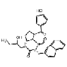 Cl.NCC(O)CNC(=O)[C@@H](Cc1ccc2ccccc2c1)N(C=O)C1CCCN1C(=O)c1ccccc1